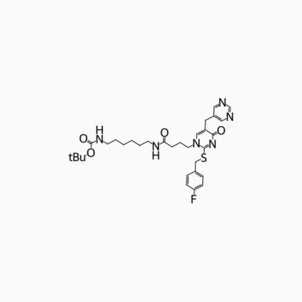 CC(C)(C)OC(=O)NCCCCCCNC(=O)CCCn1cc(Cc2cncnc2)c(=O)nc1SCc1ccc(F)cc1